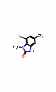 Cn1c(=O)[nH]c2cc(C(F)(F)F)cc(Br)c21